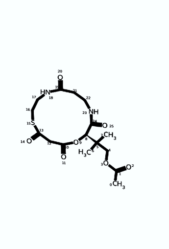 CC(=O)OCC(C)(C)[C@H]1OC(=O)CC(=O)SCCNC(=O)CCNC1=O